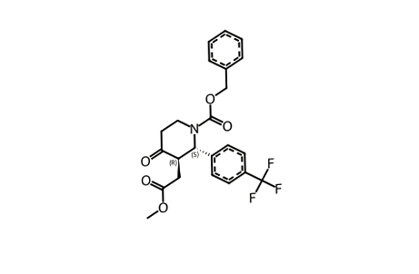 COC(=O)C[C@H]1C(=O)CCN(C(=O)OCc2ccccc2)[C@@H]1c1ccc(C(F)(F)F)cc1